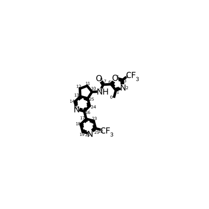 Cc1nc(C(F)(F)F)oc1C(=O)NC1CCc2cnc(-c3ccnc(C(F)(F)F)c3)cc21